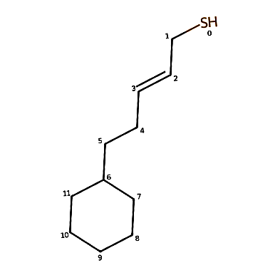 SCC=CCCC1CCCCC1